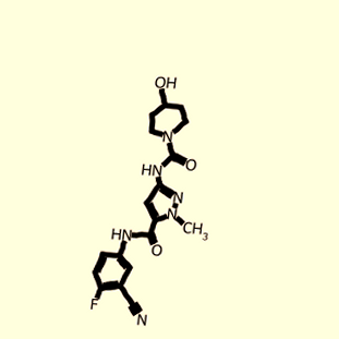 Cn1nc(NC(=O)N2CCC(O)CC2)cc1C(=O)Nc1ccc(F)c(C#N)c1